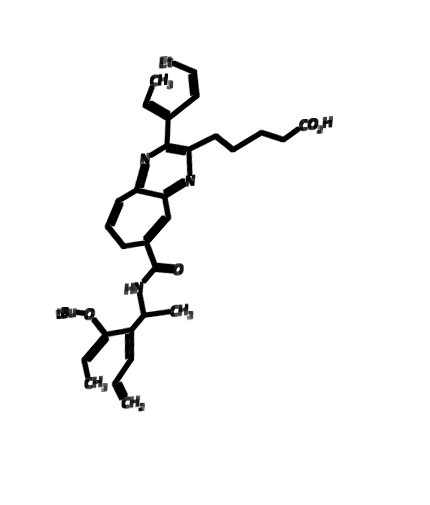 C=C/C=C(\C(=C/C)OC(C)(C)C)C(C)NC(=O)C1=Cc2nc(CCCCC(=O)O)c(C(/C=C\CC)=C/C)nc2C=CC1